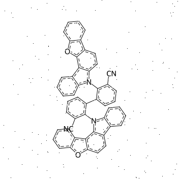 N#Cc1cccc(-c2cccc(C#N)c2-n2c3ccccc3c3ccc4oc5ccccc5c4c32)c1-n1c2ccccc2c2c3oc4ccccc4c3ccc21